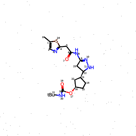 Cc1cnc(CC(=O)NC2=NNC([C@H]3CC[C@@H](OC(=O)NC(C)(C)C)C3)C2)s1